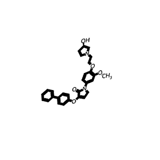 COc1cc(N2CC=C(Oc3ccc(-c4ccccc4)cc3)C2=O)ccc1OCCN1CC[C@@H](O)C1